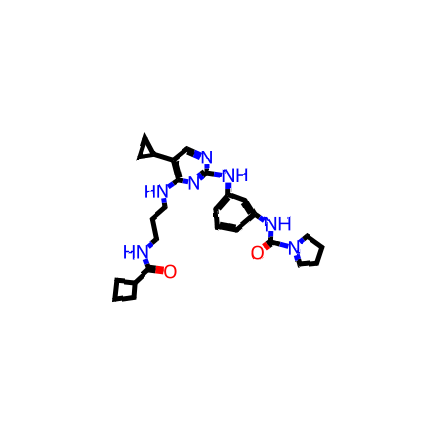 O=C(NCCCNc1nc(Nc2cccc(NC(=O)N3CCCC3)c2)ncc1C1CC1)C1CCC1